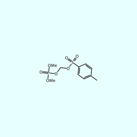 COP(=O)(OC)OCOS(=O)(=O)c1ccc(C)cc1